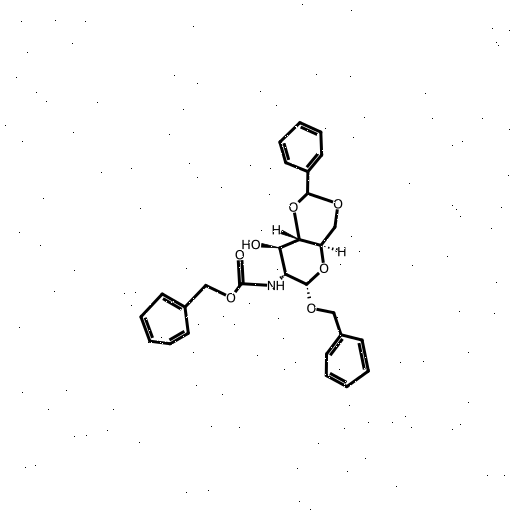 O=C(N[C@H]1[C@@H](OCc2ccccc2)O[C@@H]2COC(c3ccccc3)O[C@H]2[C@@H]1O)OCc1ccccc1